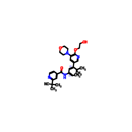 C=C(C)/C(=C\C(=C/C)NC(=O)c1ccnc(C(C)(C)C#N)c1)c1cnc(OCCO)c(N2CCOCC2)c1